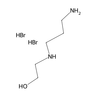 Br.Br.NCCCNCCO